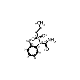 CCCS(=O)(=O)N(C(N)=O)c1ccccc1I